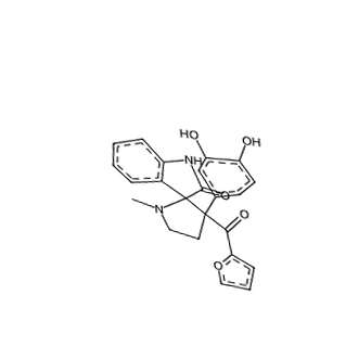 CN1CCC(C(=O)c2ccco2)(c2ccc(O)c(O)c2)C12C(=O)Nc1ccccc12